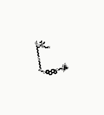 CCN(C(C)C)P(OCCC#N)OCC(CCCCCCSSCCCCCCN(C)CCOc1ccc2c(c1)CCC1C2CCC2(C)C(OCCCOC(C(F)(F)F)(C(F)(F)F)C(F)(F)F)CCC12)COOI